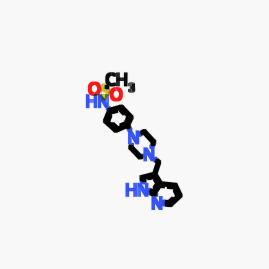 CS(=O)(=O)Nc1ccc(N2CCN(Cc3c[nH]c4ncccc34)CC2)cc1